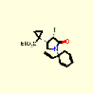 C=C[C@]1(N2C[C@H](C3(C(=O)OCC)CC3)[C@H](F)C2=O)C=CC=CC1